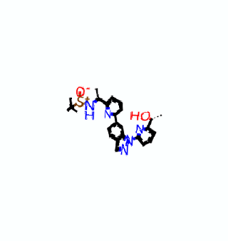 C[C@H](N[S+]([O-])C(C)(C)C)c1cccc(-c2ccc3cnn(-c4cccc([C@@H](C)O)n4)c3c2)n1